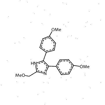 COCc1nc(-c2ccc(OC)cc2)c(-c2ccc(OC)cc2)[nH]1